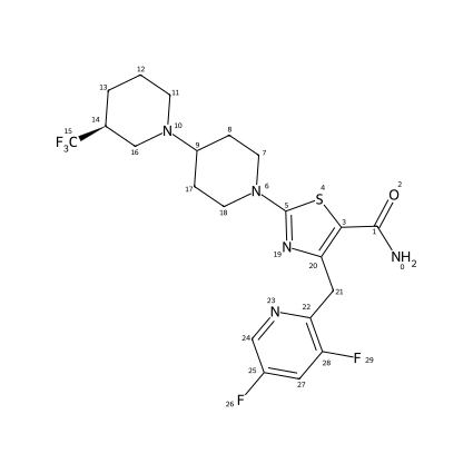 NC(=O)c1sc(N2CCC(N3CCC[C@H](C(F)(F)F)C3)CC2)nc1Cc1ncc(F)cc1F